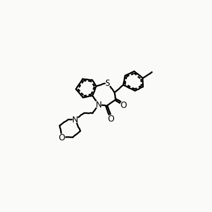 Cc1ccc(C2Sc3ccccc3N(CCN3CCOCC3)C(=O)C2=O)cc1